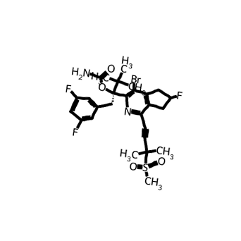 CC(C)(C)[C@](Cc1cc(F)cc(F)c1)(OC(N)=O)c1nc(C#CC(C)(C)S(C)(=O)=O)c2c(c1Br)CC(F)C2